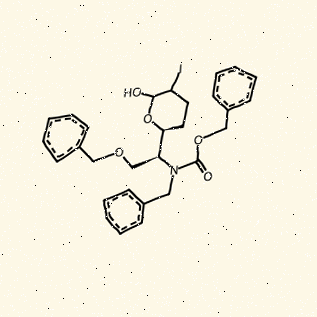 O=C(OCc1ccccc1)N(Cc1ccccc1)[C@@H](COCc1ccccc1)[C@@H]1CCC(I)C(O)O1